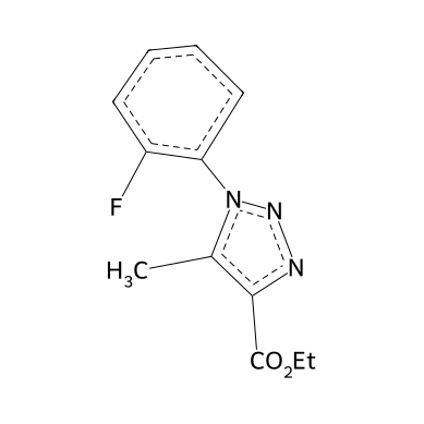 CCOC(=O)c1nnn(-c2ccccc2F)c1C